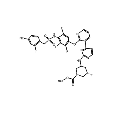 CC(C)(C)OC(=O)N1CC(Nc2nccc(-c3cccnc3Oc3cc(F)c(NS(=O)(=O)Cc4ccc(C#N)cc4F)c(F)c3F)n2)C[C@H](F)C1